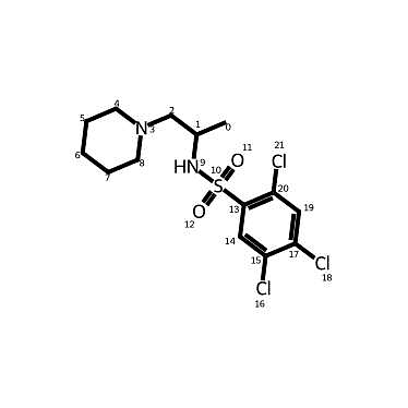 CC(CN1CCCCC1)NS(=O)(=O)c1cc(Cl)c(Cl)cc1Cl